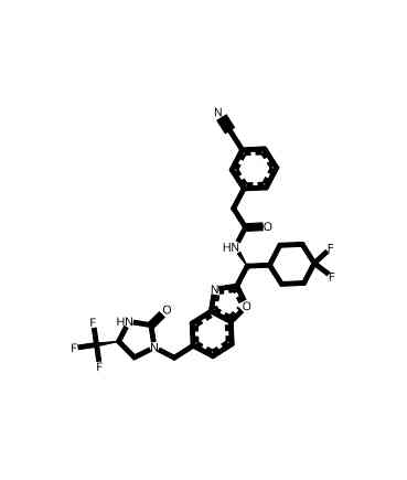 N#Cc1cccc(CC(=O)N[C@H](c2nc3cc(CN4C[C@@H](C(F)(F)F)NC4=O)ccc3o2)C2CCC(F)(F)CC2)c1